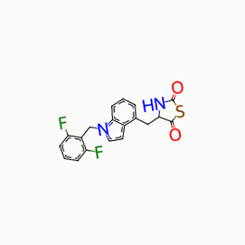 O=C1NC(Cc2cccc3c2ccn3Cc2c(F)cccc2F)C(=O)S1